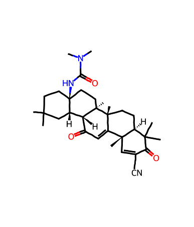 CN(C)C(=O)N[C@]12CCC(C)(C)C[C@H]1[C@H]1C(=O)C=C3[C@@]4(C)C=C(C#N)C(=O)C(C)(C)[C@@H]4CC[C@@]3(C)[C@]1(C)CC2